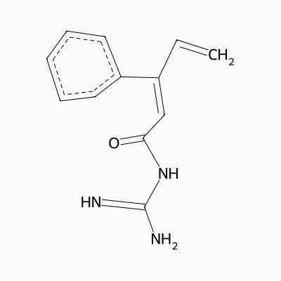 C=C/C(=C/C(=O)NC(=N)N)c1ccccc1